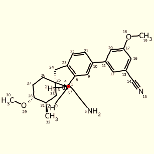 [2H]C1([2H])OC(N)=N[C@]12c1cc(-c3cc(C#N)cc(OC)c3)ccc1C[C@]21CC[C@@H](OC)[C@H](C)C1